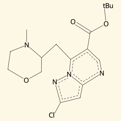 CN1CCOCC1Cc1c(C(=O)OC(C)(C)C)cnc2cc(Cl)nn12